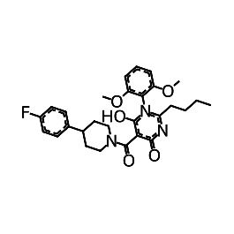 CCCCc1nc(=O)c(C(=O)N2CCC(c3ccc(F)cc3)CC2)c(O)n1-c1c(OC)cccc1OC